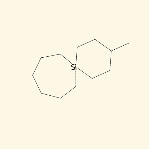 CC1CC[Si]2(CCCCCC2)CC1